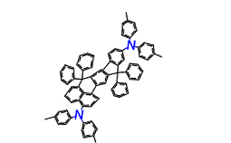 Cc1ccc(N(c2ccc(C)cc2)c2ccc3c(c2)C(c2ccccc2)(c2ccccc2)c2cc4c(cc2-3)C(c2ccccc2)(c2ccccc2)c2cccc3c(N(c5ccc(C)cc5)c5ccc(C)cc5)ccc-4c23)cc1